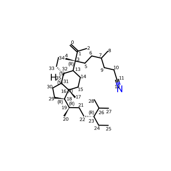 C=C(C)[C@](C)(CCC(C)CCC#N)C1CC[C@]2(C)[C@@H]([C@H](C)CC[C@@H](CC)C(C)C)CC[C@H]2[C@@H]1CC